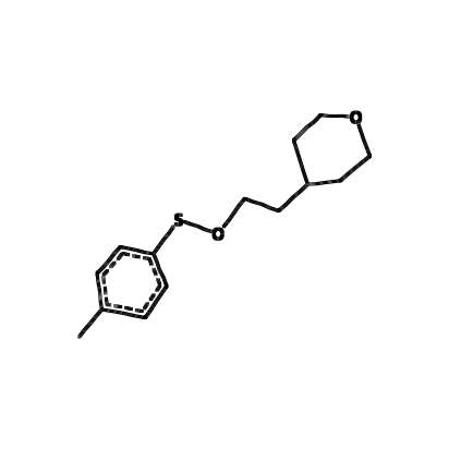 Cc1ccc(SOCCC2CCOCC2)cc1